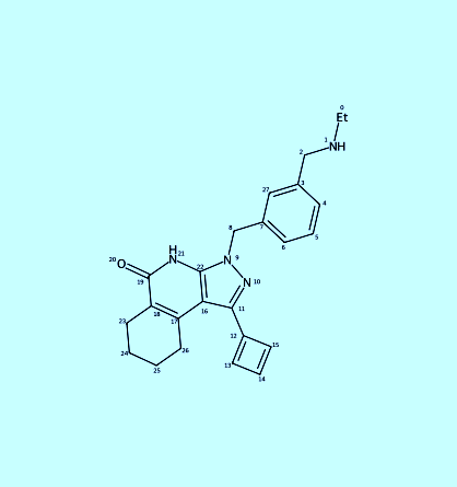 CCNCc1cccc(Cn2nc(C3=CC=C3)c3c4c(c(=O)[nH]c32)CCCC4)c1